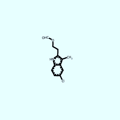 Cc1c(CCOC=O)[nH]c2ccc(Cl)cc12